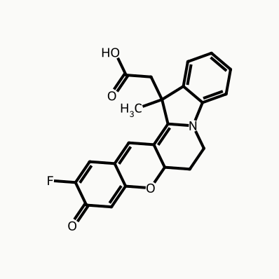 CC1(CC(=O)O)C2=C3C=C4C=C(F)C(=O)C=C4OC3CCN2c2ccccc21